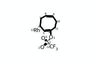 O=S(=O)(OC1=CCCC=CCC1)C(F)(F)F.[Rh]